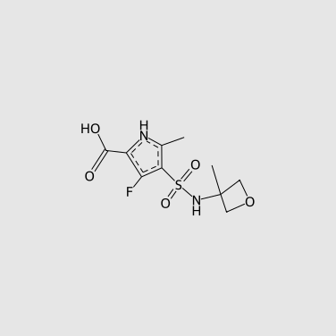 Cc1[nH]c(C(=O)O)c(F)c1S(=O)(=O)NC1(C)COC1